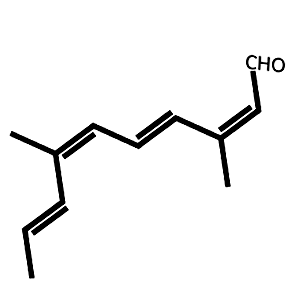 CC=CC(C)=CC=CC(C)=CC=O